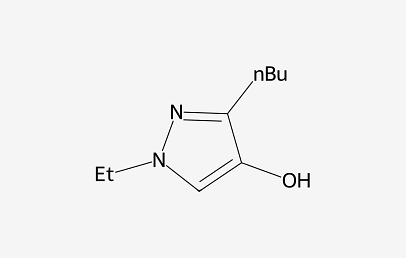 CCCCc1nn(CC)cc1O